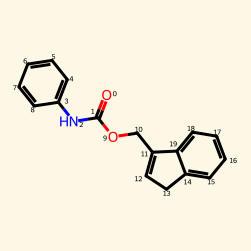 O=C(Nc1ccccc1)OCC1=CCc2ccccc21